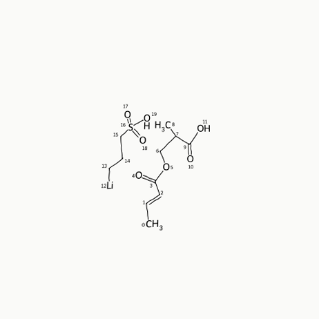 CC=CC(=O)OCC(C)C(=O)O.[Li][CH2]CCS(=O)(=O)O